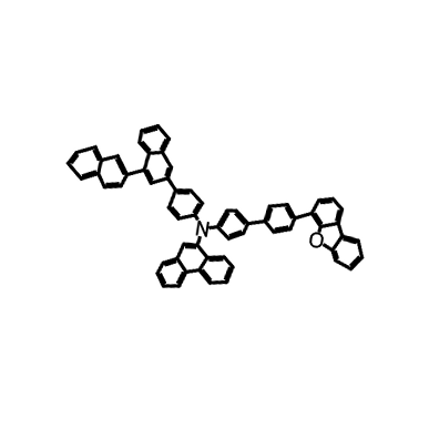 c1ccc2cc(-c3cc(-c4ccc(N(c5ccc(-c6ccc(-c7cccc8c7oc7ccccc78)cc6)cc5)c5cc6ccccc6c6ccccc56)cc4)cc4ccccc34)ccc2c1